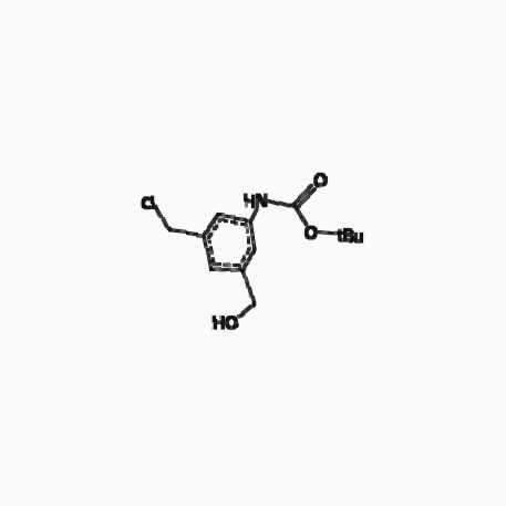 CC(C)(C)OC(=O)Nc1cc(CO)cc(CCl)c1